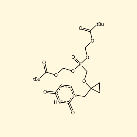 CC(C)(C)C(=O)OCOP(=O)(COC1(Cn2ccc(=O)[nH]c2=O)CC1)OCOC(=O)C(C)(C)C